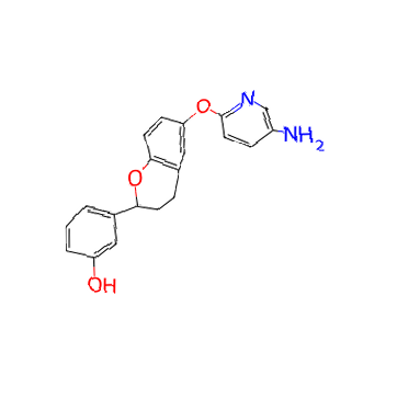 Nc1ccc(Oc2ccc3c(c2)CCC(c2cccc(O)c2)O3)nc1